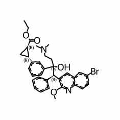 CCOC(=O)[C@@H]1C[C@H]1c1cccc([C@](O)(CCN(C)C)[C@H](c2ccccc2)c2cc3cc(Br)ccc3nc2OC)c1